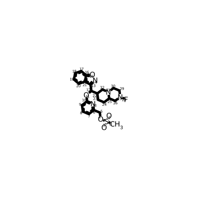 CS(=O)(=O)OCc1cccc(OC(c2noc3ccccc23)C2CCC3CN(F)CCN3C2)n1